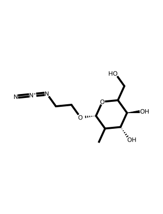 CC1[C@H](OCCN=[N+]=[N-])OC(CO)[C@@H](O)[C@@H]1O